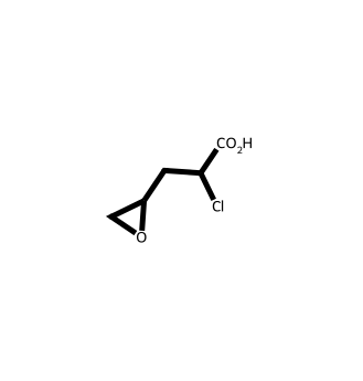 O=C(O)C(Cl)CC1CO1